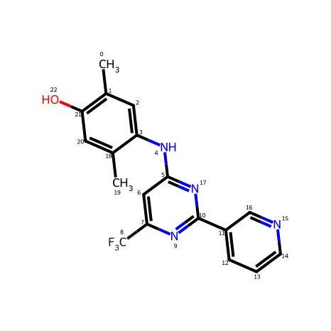 Cc1cc(Nc2cc(C(F)(F)F)nc(-c3cccnc3)n2)c(C)cc1O